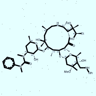 CCCNC[C@]1(O)[C@H](C)O[C@@H](O[C@H]2[C@H](C)[C@@H](O[C@@H]3O[C@H](C)C[C@H](N(C)C(=O)N(C)c4ccccc4)[C@H]3O)[C@](C)(O)C[C@@H](C)CN[C@H](C)[C@H]([C@](C)(O)[C@H](O)CC)CC(=O)[C@@H]2C)C[C@@]1(C)OC